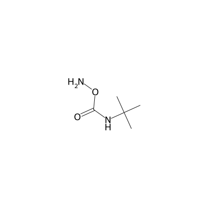 CC(C)(C)NC(=O)ON